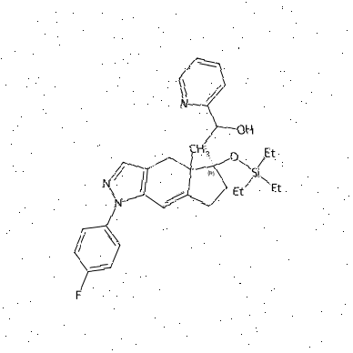 CC[Si](CC)(CC)O[C@@]1(CC(O)c2ccccn2)CCC2=Cc3c(cnn3-c3ccc(F)cc3)CC21C